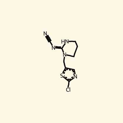 N#CN=C1NCCCN1Cc1cnc(Cl)s1